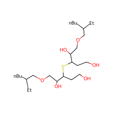 CCCCC(CC)COCC(O)C(CCO)SC(CCO)C(O)COCC(CC)CCCC